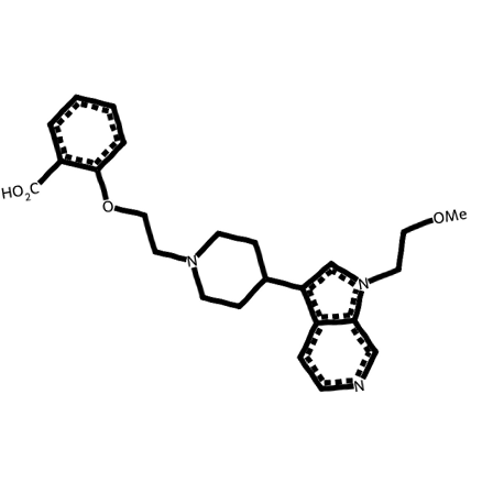 COCCn1cc(C2CCN(CCOc3ccccc3C(=O)O)CC2)c2ccncc21